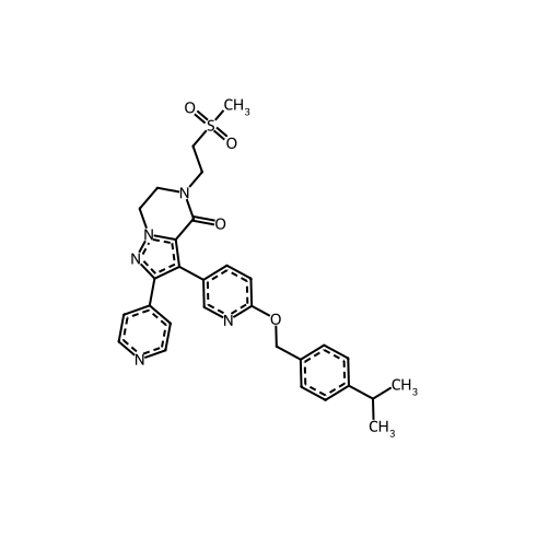 CC(C)c1ccc(COc2ccc(-c3c(-c4ccncc4)nn4c3C(=O)N(CCS(C)(=O)=O)CC4)cn2)cc1